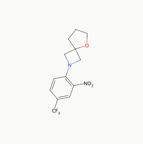 O=[N+]([O-])c1cc(C(F)(F)F)ccc1N1CC2(CCCO2)C1